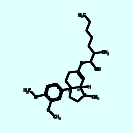 CCCCCC(C)C(O)OC1=C[C@@H]2N(C)CC[C@]2(c2ccc(OC)c(OC)c2)CC1